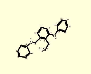 [SiH3]Cc1c(COc2ccccc2)cccc1Oc1ccccc1